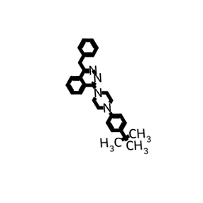 CC(C)(C)c1ccc(N2CCN(c3nnc(Cc4ccccc4)c4ccccc34)CC2)cc1